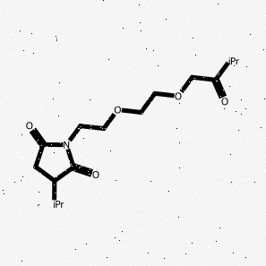 CC(C)C(=O)COCCOCCN1C(=O)CC(C(C)C)C1=O